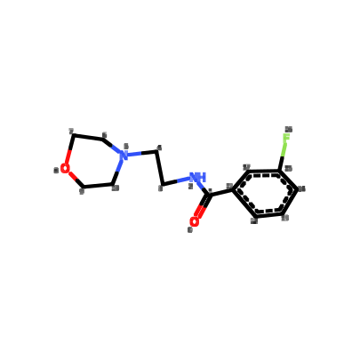 O=C(NCCN1CCOCC1)c1cccc(F)c1